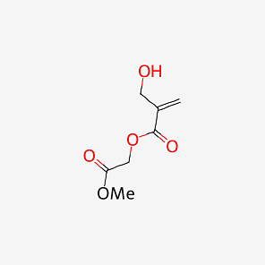 C=C(CO)C(=O)OCC(=O)OC